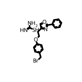 BrCc1ccc(OCCc2coc(-c3ccccc3)n2)cc1.N=C(N)S